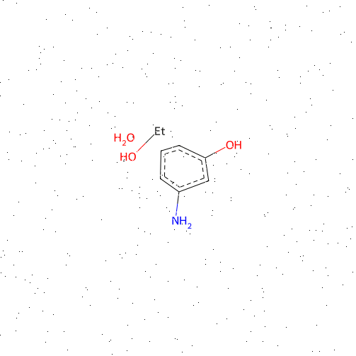 CCO.Nc1cccc(O)c1.O